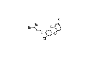 Fc1ccc(Oc2ccc(OCC=C(Br)Br)c(Cl)c2)c(F)c1